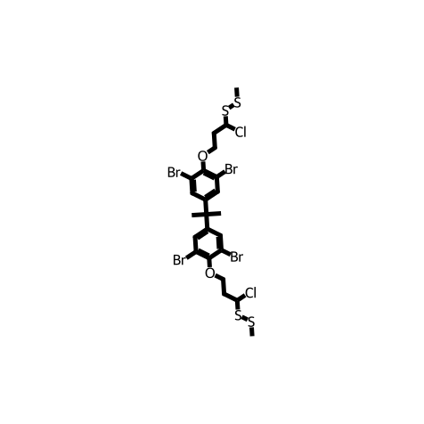 CSSC(Cl)CCOc1c(Br)cc(C(C)(C)c2cc(Br)c(OCCC(Cl)SSC)c(Br)c2)cc1Br